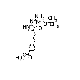 COC(=O)c1ccc(CCCC2CNc3nc(N)n(COC(C)C)c(=O)c32)cc1